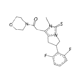 Cn1c(CC(=O)N2CCOCC2)c2n(c1=S)CC(c1c(F)cccc1F)C2